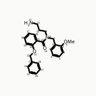 COc1ccccc1CN(CCCN)C(=O)c1ccccc1OCc1ccccc1